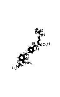 CC(C)(C)OC(=O)NCCCC(NC(=O)c1ccc(NCc2ccc3nc(N)nc(N)c3c2Cl)cc1)C(=O)O